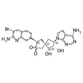 Nc1nc2cc([C@H]3C[C@]4(C[C@@H](n5ccc6c(N)ncnc65)[C@H](O)[C@@H]4O)CS3(=O)=O)ccc2cc1Br